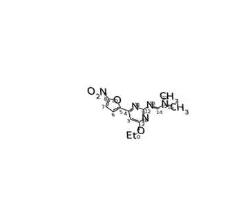 CCOc1cc(-c2ccc([N+](=O)[O-])o2)nc(/N=C/N(C)C)n1